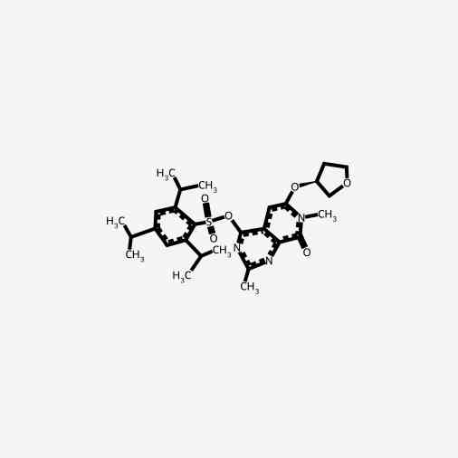 Cc1nc(OS(=O)(=O)c2c(C(C)C)cc(C(C)C)cc2C(C)C)c2cc(O[C@H]3CCOC3)n(C)c(=O)c2n1